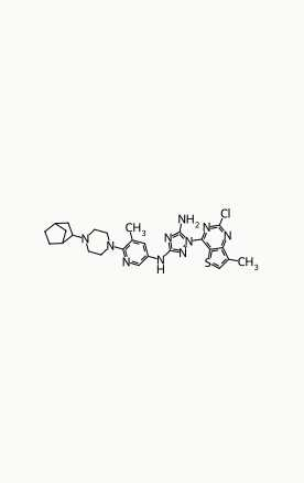 Cc1cc(Nc2nc(N)n(-c3nc(Cl)nc4c(C)csc34)n2)cnc1N1CCN(C2CC3CCC2C3)CC1